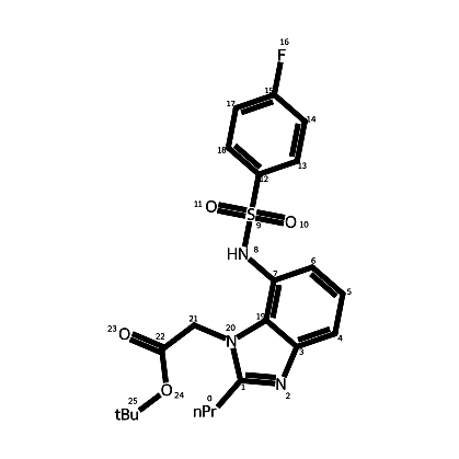 CCCc1nc2cccc(NS(=O)(=O)c3ccc(F)cc3)c2n1CC(=O)OC(C)(C)C